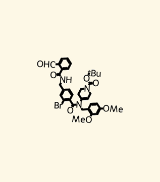 COc1ccc(CN(C(=O)c2ccc(CNC(=O)c3ccccc3C=O)cc2Br)C2=CCN(C(=O)OC(C)(C)C)CC2)c(OC)c1